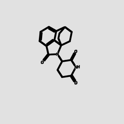 O=C1CCC(N2C(=O)c3cccc4c3C23CCC4CC3)C(=O)N1